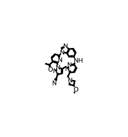 COC1CN(Cc2ccc(Nc3ccc4ncn(-c5ccc(C(C)=O)c(-n6nc(C#N)cc6C)n5)c4c3)nn2)C1